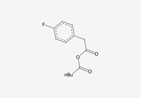 CCC[CH]C(=O)OC(=O)Cc1ccc(F)cc1